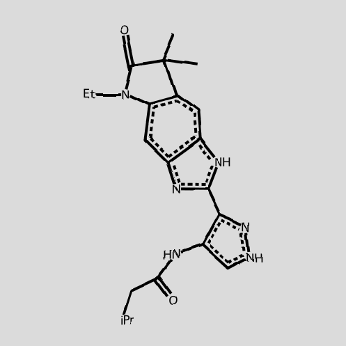 CCN1C(=O)C(C)(C)c2cc3[nH]c(-c4n[nH]cc4NC(=O)CC(C)C)nc3cc21